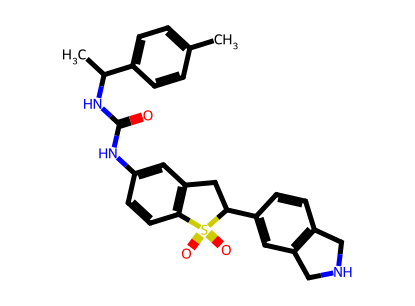 Cc1ccc(C(C)NC(=O)Nc2ccc3c(c2)CC(c2ccc4c(c2)CNC4)S3(=O)=O)cc1